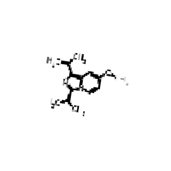 COc1ccn2c(C(C)C)nc(C(C)C)c2c1